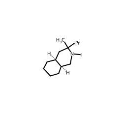 CC(C)C1(C)C[C@@H]2CCCC[C@@H]2CN1I